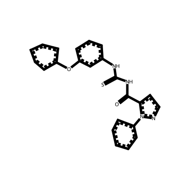 O=C(NC(=S)Nc1cccc(Oc2ccccc2)c1)c1ccnn1-c1ccccc1